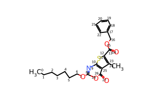 CCCCCCCOc1nc2sc(C(=O)OCc3ccccc3)c(C)c2c(=O)o1